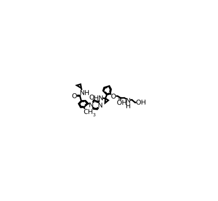 Cc1ccc(C(=O)NC2CC2)cc1-n1ccnc(NC2(c3ccccc3OC[C@H](O)CNCCO)CC2)c1=O